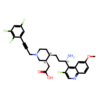 COc1ccc2ncc(F)c([C@@H](N)CC[C@@H]3CCN(CC#Cc4cc(F)cc(F)c4F)C[C@@H]3CC(=O)O)c2c1